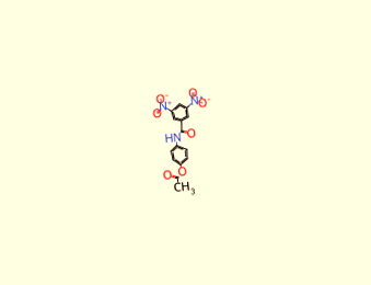 CC(=O)Oc1ccc(NC(=O)c2cc([N+](=O)[O-])cc([N+](=O)[O-])c2)cc1